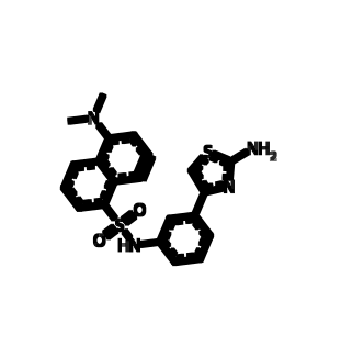 CN(C)c1cc#cc2c(S(=O)(=O)Nc3cccc(-c4csc(N)n4)c3)cccc12